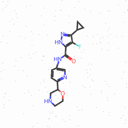 O=C(Nc1ccc(C2CNCCO2)nc1)c1[nH]nc(C2CC2)c1F